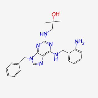 CC(C)(O)CNc1nc(NCc2ccccc2N)c2ncn(Cc3ccccc3)c2n1